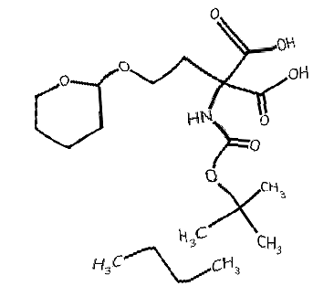 CC(C)(C)OC(=O)NC(CCOC1CCCCO1)(C(=O)O)C(=O)O.CCCC